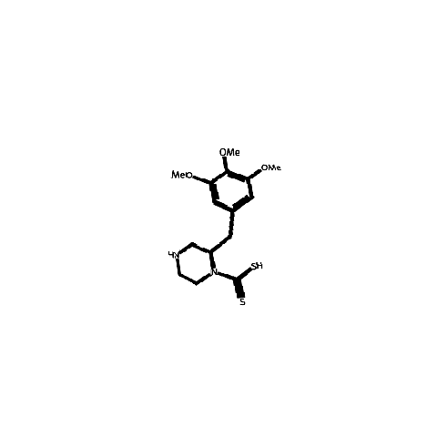 COc1cc(CC2CNCCN2C(=S)S)cc(OC)c1OC